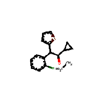 CC(=O)O.O=C(C1CC1)C(c1cccs1)c1ccccc1F